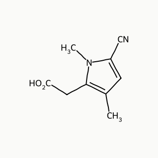 Cc1cc(C#N)n(C)c1CC(=O)O